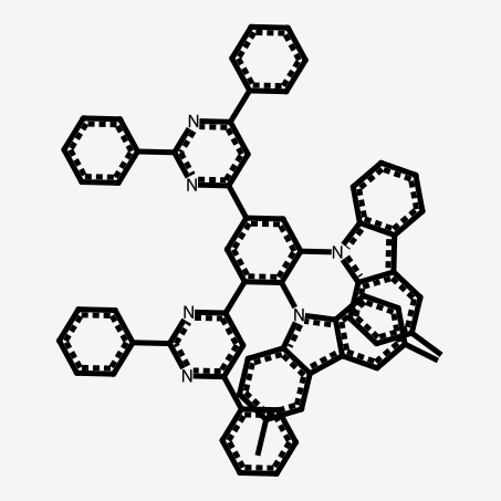 Cc1ccc2c(c1)c1ccccc1n2-c1cc(-c2cc(-c3ccccc3)nc(-c3ccccc3)n2)cc(-c2cc(-c3ccccc3)nc(-c3ccccc3)n2)c1-n1c2ccc(C)cc2c2cc(C)ccc21